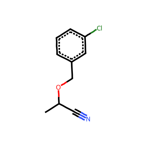 CC(C#N)OCc1cccc(Cl)c1